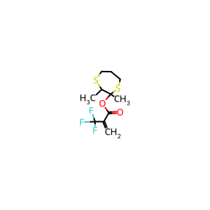 C=C(C(=O)OC1(C)SCCCSC1C)C(F)(F)F